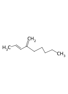 C=C(/C=C/C)CCCCC